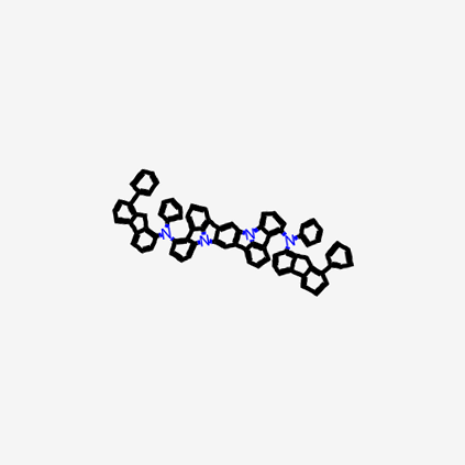 c1ccc(-c2cccc3c2Cc2c-3cccc2N(c2ccccc2)c2cccc3c2c2cccc4c5cc6c(cc5n3c42)c2cccc3c4c(N(c5ccccc5)c5cccc7c5Cc5c(-c8ccccc8)cccc5-7)cccc4n6c23)cc1